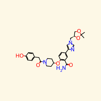 CC1(C)OC[C@H](Cn2cnc(-c3ccc(OC4CCN(C(=O)Cc5ccc(O)cc5)CC4)c(C(N)=O)c3)c2)O1